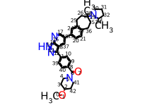 COC1CCN(C(=O)c2ccc(-c3n[nH]c4ncc(-c5ccc6c(c5)CCC(C)(N5CCC[C@H]5C)CC6)cc34)cc2)CC1